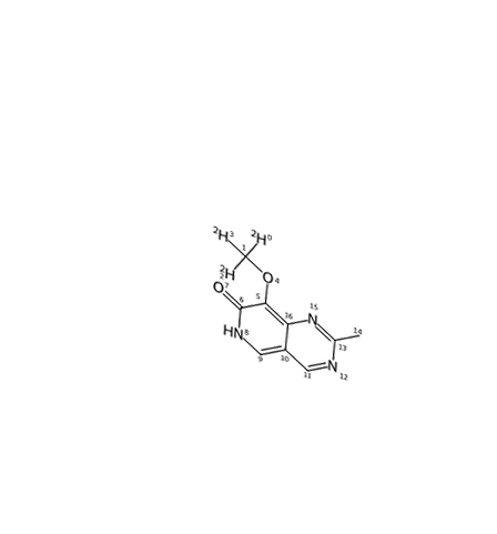 [2H]C([2H])([2H])Oc1c(=O)[nH]cc2cnc(C)nc12